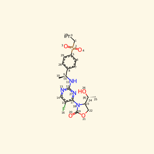 CC(C)CS(=O)(=O)c1ccc([C@H](C)Nc2ncc(F)c(N3C(=O)OCC3[C@@H](C)O)n2)cc1